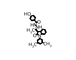 CC(NNC(=O)c1ccc(O)cc1)=C1C(=O)N(c2cc(C)cc(C)c2)c2ccccc21